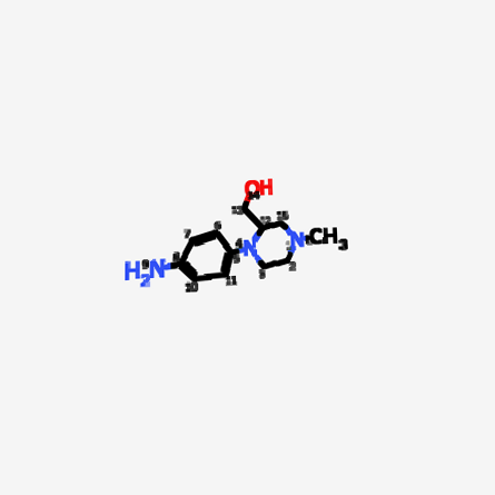 CN1CCN(c2ccc(N)cc2)C(CO)C1